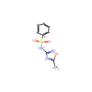 O=S(=O)(Nc1noc(C(F)(F)F)n1)c1ccccc1